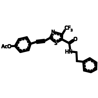 CC(=O)Oc1ccc(C#Cc2nc(C(F)(F)F)c(C(=O)NCCc3ccccc3)s2)cc1